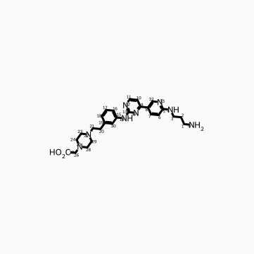 NCCCNc1ccc(-c2ccnc(Nc3cccc(CCN4CCN(CC(=O)O)CC4)c3)n2)cn1